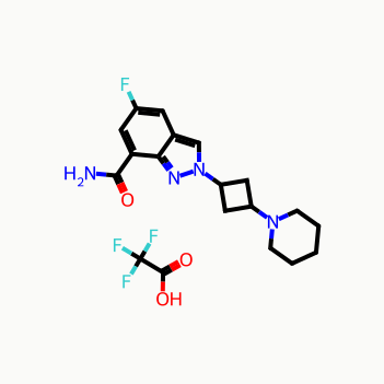 NC(=O)c1cc(F)cc2cn(C3CC(N4CCCCC4)C3)nc12.O=C(O)C(F)(F)F